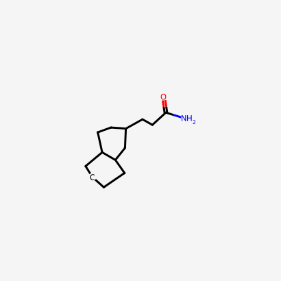 NC(=O)CCC1CCC2CCCCC2C1